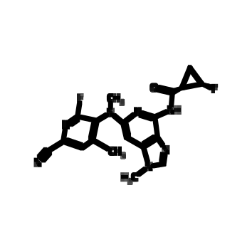 Cc1cc(C#N)nc(F)c1N(C)c1cc2c(ncn2C)c(NC(=O)[C@H]2C[C@H]2F)n1